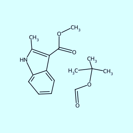 CC(C)(C)OC=O.COC(=O)c1c(C)[nH]c2ccccc12